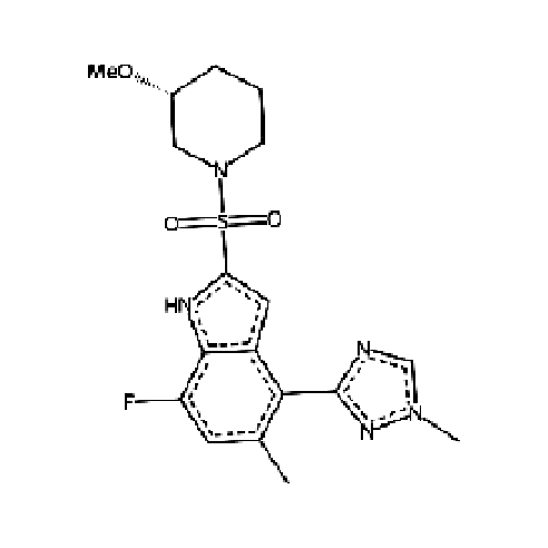 CO[C@@H]1CCCN(S(=O)(=O)c2cc3c(-c4ncn(C)n4)c(C)cc(F)c3[nH]2)C1